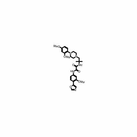 COc1ccc(N2CCN(CC(C)(C)NC(=O)C(=O)Nc3ccc(-c4cnco4)c(OC)c3)CC2)c(OC)c1